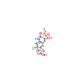 CCOP(=O)(O)c1cc2cc(S(=O)(=O)NO)c(Cl)cc2[nH]c1=O